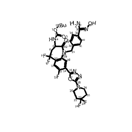 CC(C)(C)OC(=O)NC1CC(F)(F)c2cc(F)c(-c3nnc(N4CCC(F)(F)CC4)o3)cc2N(Cc2ccc(/C(N)=N/O)cc2)C1=O